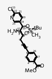 COC(=O)c1ccc(C#CCC[C@@H](N)[C@H](O[Si](C)(C)C(C)(C)C)c2ccc(Cl)nc2)cc1